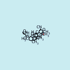 CC1(C)C(=O)C(C#N)=C[C@]2(C)C3=CC(=O)[C@]4(O)[C@@H]5C[C@@](C)(NC(=O)c6ccon6)CC[C@]5(C)CC[C@@]4(C)[C@]3(C)CC[C@@H]12